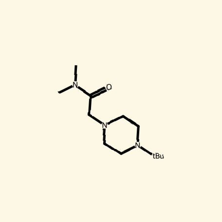 CN(C)C(=O)CN1CCN(C(C)(C)C)CC1